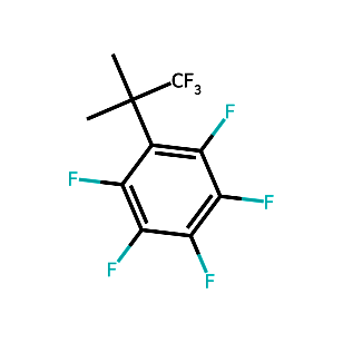 CC(C)(c1c(F)c(F)c(F)c(F)c1F)C(F)(F)F